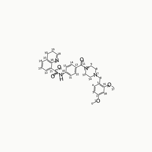 COc1ccc(CN2CCN(C(=O)c3ccc(NS(=O)(=O)c4cccc5c4N=CCC5)cc3)CC2)c(OC)c1